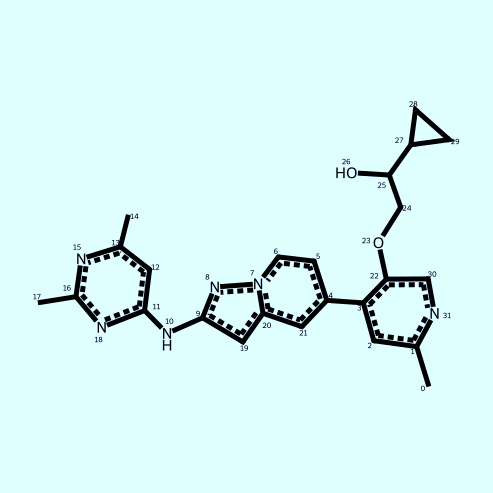 Cc1cc(-c2ccn3nc(Nc4cc(C)nc(C)n4)cc3c2)c(OCC(O)C2CC2)cn1